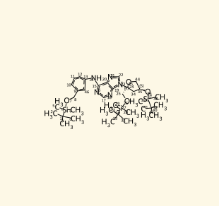 CC(C)(C)[Si](C)(C)OCc1cccc(Nc2ncnc3c2ncn3[C@]2(CO[Si](C)(C)C(C)(C)C)C[C@H](O[Si](C)(C)C(C)(C)C)CO2)c1